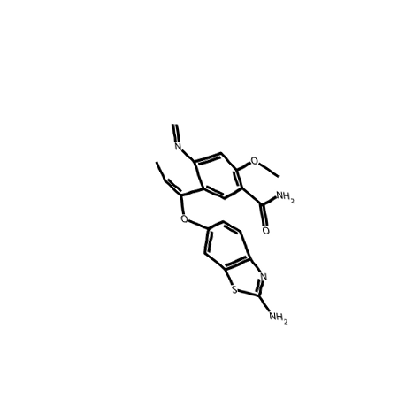 C=Nc1cc(OC)c(C(N)=O)cc1/C(=C\C)Oc1ccc2nc(N)sc2c1